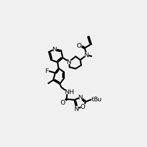 C=CC(=O)N(C)C1CCCN(c2cnccc2-c2ccc(CNC(=O)c3noc(C(C)(C)C)n3)c(C)c2F)C1